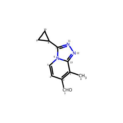 Cc1c(C=O)ccn2c(C3CC3)nnc12